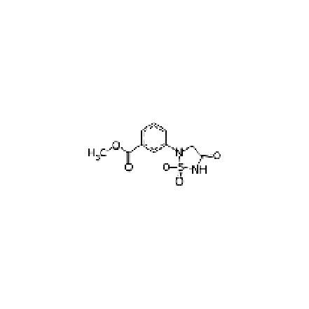 COC(=O)c1cccc(N2CC(=O)NS2(=O)=O)c1